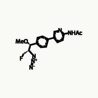 CO[C@H](c1ccc(-c2ccc(NC(C)=O)nc2)cc1)[C@@H](CF)N=[N+]=[N-]